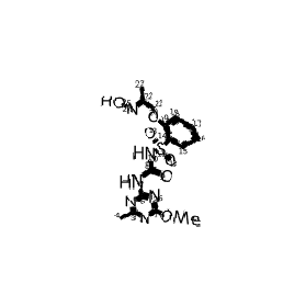 COc1nc(C)nc(NC(=O)NS(=O)(=O)c2ccccc2OCC(C)=NO)n1